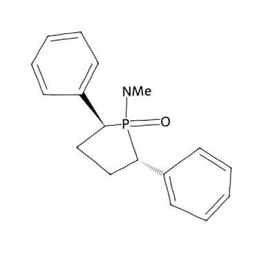 CNP1(=O)[C@H](c2ccccc2)CC[C@H]1c1ccccc1